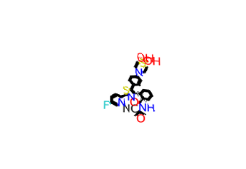 N#CC1(NC(=O)[C@@H]2CCCC[C@H]2c2nc(-c3ccc(F)cn3)sc2-c2ccc(N3CCS(O)(O)CC3)cc2)COC1